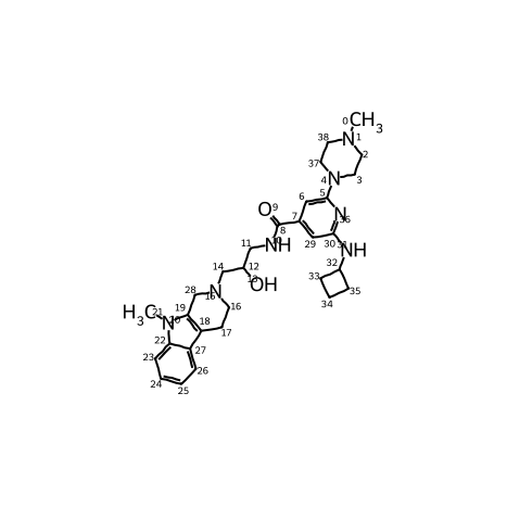 CN1CCN(c2cc(C(=O)NCC(O)CN3CCc4c(n(C)c5ccccc45)C3)cc(NC3CCC3)n2)CC1